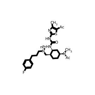 CCCN(CCCc1ccc(F)cc1)C[C@@H]1CC[C@H](N(C)C(C)=O)C[C@H]1NC(=O)Nc1nc(C)c(C(C)=O)s1